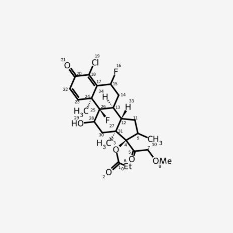 CCC(=O)O[C@]1(C(=O)COC)C(C)C[C@H]2[C@@H]3CC(F)C4=C(Cl)C(=O)C=C[C@]4(C)[C@@]3(F)C(O)C[C@@]21C